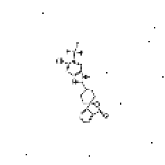 O=C1O[C@]2(CC[C@H](c3nc4cc(Cl)c(C(F)(F)F)cc4[nH]3)CC2)c2ccccc21